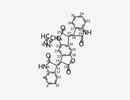 C#N.C#N.O=C1Nc2ccccc2C1=C1C(=O)Oc2cc3c(cc21)OC(=O)C3=C1C(=O)Nc2ccccc21